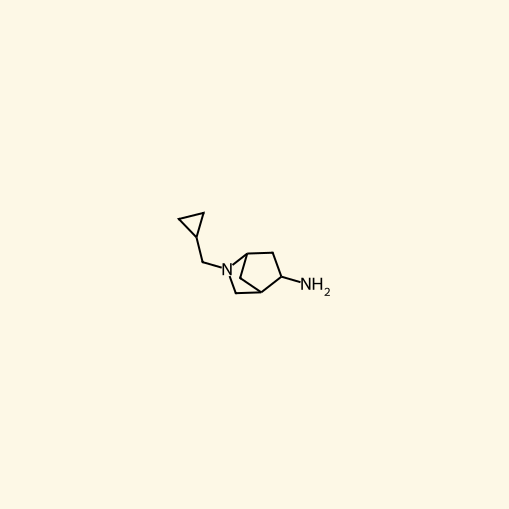 NC1CC2CC1CN2CC1CC1